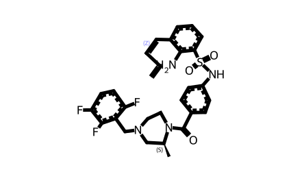 C=C/C=C\c1cccc(S(=O)(=O)Nc2ccc(C(=O)N3CCN(Cc4c(F)ccc(F)c4F)C[C@@H]3C)cc2)c1N